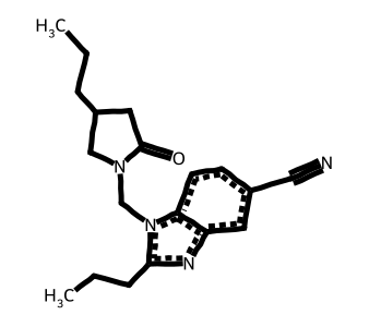 CCCc1nc2cc(C#N)ccc2n1CN1CC(CCC)CC1=O